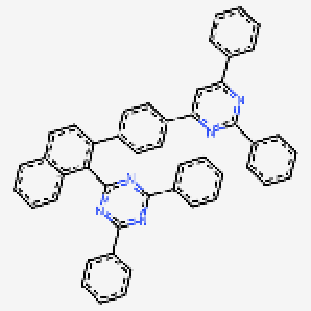 c1ccc(-c2cc(-c3ccc(-c4ccc5ccccc5c4-c4nc(-c5ccccc5)nc(-c5ccccc5)n4)cc3)nc(-c3ccccc3)n2)cc1